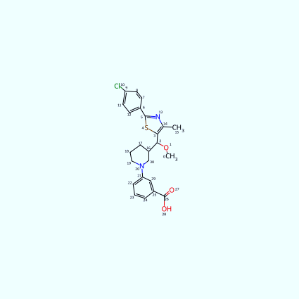 COC(c1sc(-c2ccc(Cl)cc2)nc1C)C1CCCN(c2cccc(C(=O)O)c2)C1